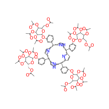 CC(=O)OCC1O[C@@H](Oc2cccc(-c3c4nc(c(-c5cccc(O[C@@H]6OC(COC(C)=O)[C@H](OC(C)=O)C(OC(C)=O)C6OC(C)=O)c5)c5ccc([nH]5)c(-c5cccc(O[C@@H]6OC(COC(C)=O)[C@H](OC(C)=O)C(OC(C)=O)C6OC(C)=O)c5)c5nc(c(-c6cccc(OC7O[C@H](COC(C)=O)C(OC(C)=O)C(OC(C)=O)[C@H]7OC(C)=O)c6)c6ccc3[nH]6)C=C5)C=C4)c2)C(OC(C)=O)C(OC(C)=O)[C@H]1OC(C)=O